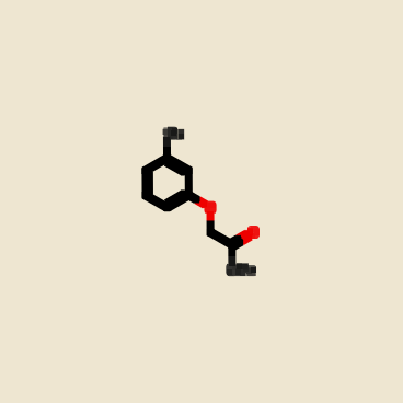 COC(=O)COc1cccc(C(C)(C)C)c1